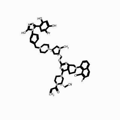 C=CC(=O)N1CCN(c2nc(OC[C@@H]3C[C@H](N4CCN(Cc5ccc(-n6c(O)nnc6-c6cc(C(C)C)c(O)cc6O)cc5)CC4)CN3C)nc3c2CCN(c2cccc4ccc(F)c(Cl)c24)C3)C[C@@H]1CC#N